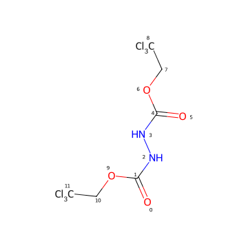 O=C(NNC(=O)OCC(Cl)(Cl)Cl)OCC(Cl)(Cl)Cl